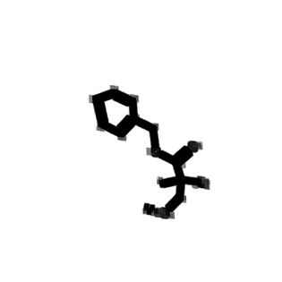 CCC(C)(COC)C(=O)OCc1ccccc1